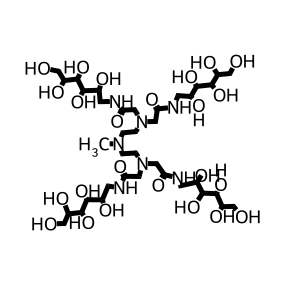 CN(CCN(CC(=O)NCC(O)C(O)C(O)C(O)CO)CC(=O)NCC(O)C(O)C(O)C(O)CO)CCN(CC(=O)NCC(O)C(O)C(O)C(O)CO)CC(=O)NCC(O)C(O)C(O)C(O)CO